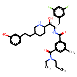 CCCN(CC)C(=O)c1cc(C)cc(C(=O)N[C@@H](Cc2cc(F)cc(F)c2)[C@H](O)C2CCC(CCc3cccc(O)c3)CN2)c1